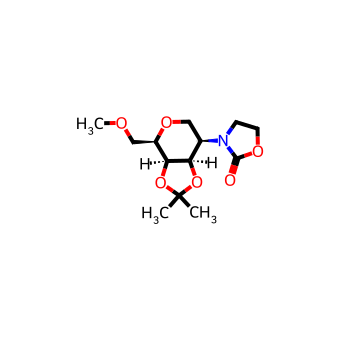 COC[C@H]1OC[C@@H](N2CCOC2=O)[C@H]2OC(C)(C)O[C@H]21